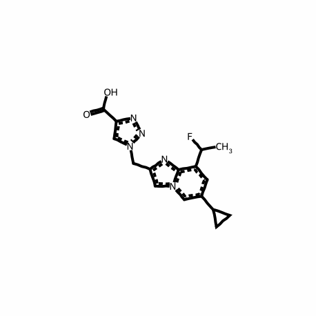 CC(F)c1cc(C2CC2)cn2cc(Cn3cc(C(=O)O)nn3)nc12